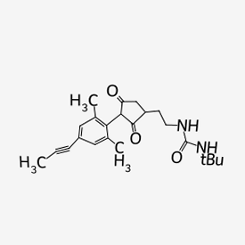 CC#Cc1cc(C)c(C2C(=O)CC(CCNC(=O)NC(C)(C)C)C2=O)c(C)c1